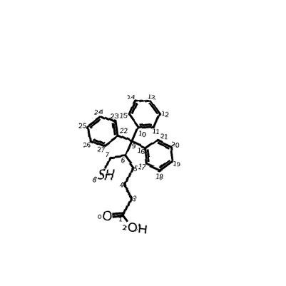 O=C(O)CCCC(CS)C(c1ccccc1)(c1ccccc1)c1ccccc1